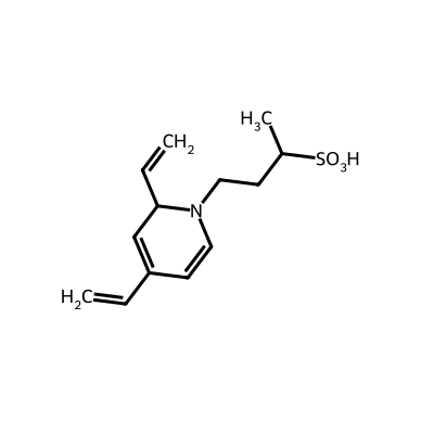 C=CC1=CC(C=C)N(CCC(C)S(=O)(=O)O)C=C1